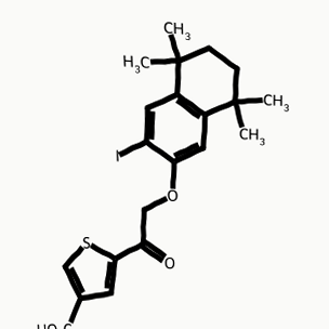 CC1(C)CCC(C)(C)c2cc(OCC(=O)c3cc(C(=O)O)cs3)c(I)cc21